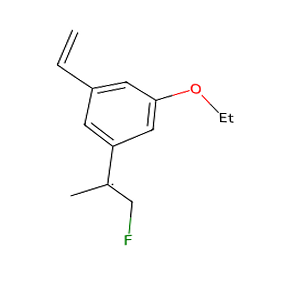 C=Cc1cc(OCC)cc([C](C)CF)c1